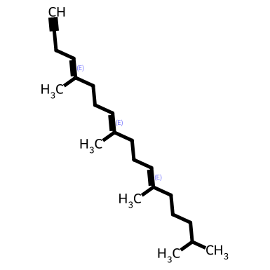 C#CC/C=C(\C)CC/C=C(\C)CC/C=C(\C)CCCC(C)C